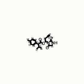 C#CCC(OC(=O)C(c1ccc(C)cc1)C(C)C)N1C(=O)CNC1=O